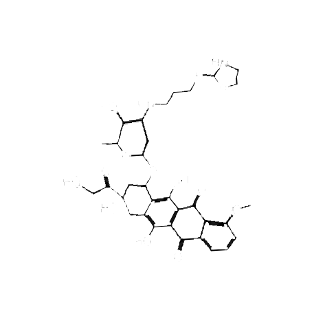 COc1cccc2c1C(=O)c1c(O)c3c(c(O)c1C2=O)C[C@@](O)(C(=O)CO)CC3OC1CC(NCCCSC2NCCO2)C(O)C(C)O1